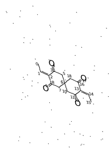 CC=C1C(=O)CC2(CC1=O)CC(=O)C(=CC)C(=O)C2